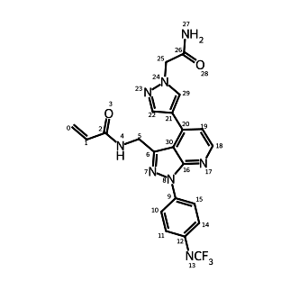 C=CC(=O)NCc1nn(-c2ccc(NC(F)(F)F)cc2)c2nccc(-c3cnn(CC(N)=O)c3)c12